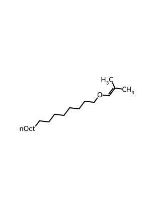 CCCCCCCCCCCCCCCCOC=C(C)C